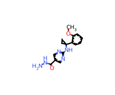 COc1ccccc1C1(Nc2ncc(C(=O)NN)cn2)CC1